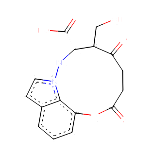 O=C1CCC(=O)C(CO)[C@@H](C(=O)O)Nn2ccc3cccc(c32)O1